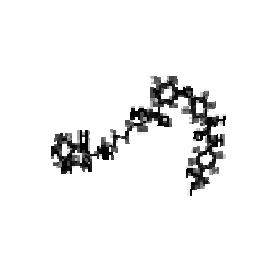 N#C/N=C(/NCCCCCCNC(=O)c1cc(Oc2ccc(NC(=O)Nc3ccc(C(F)(F)F)cc3)cc2)ccn1)Nc1ccncc1